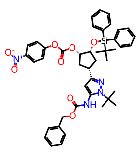 CC(C)(C)n1nc([C@@H]2C[C@H](OC(=O)Oc3ccc([N+](=O)[O-])cc3)[C@H](O[Si](c3ccccc3)(c3ccccc3)C(C)(C)C)C2)cc1NC(=O)OCc1ccccc1